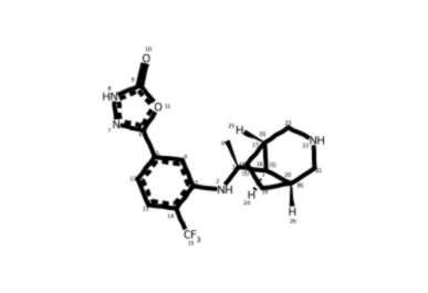 C[C@H](Nc1cc(-c2n[nH]c(=O)o2)ccc1C(F)(F)F)[C@H]1[C@@H]2CC[C@H]1CNC2